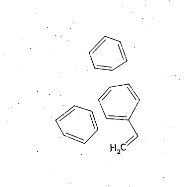 C=Cc1ccccc1.c1ccccc1.c1ccccc1